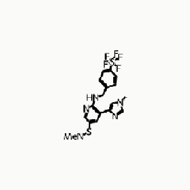 CNSc1cnc(NCc2ccc(S(F)(F)(F)(F)F)cc2)c(-c2cn(C)cn2)c1